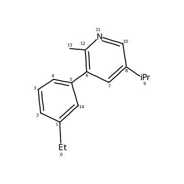 CCc1cccc(-c2cc(C(C)C)cnc2C)c1